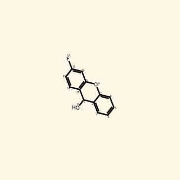 OC1c2ccccc2Oc2cc(F)ccc21